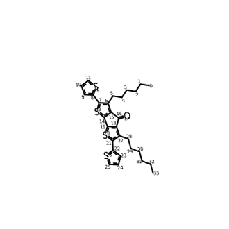 CCCCCCc1c(-c2cccs2)sc2c1C(=O)c1c-2sc(-c2cccs2)c1CCCCCC